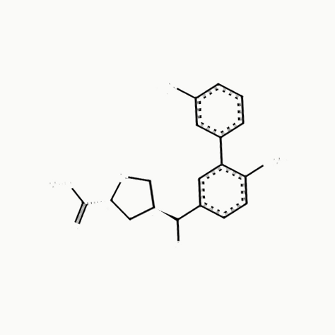 COC(=O)[C@H]1C[C@H](C(O)c2ccc(OC)c(-c3cccc([N+](=O)[O-])c3)c2)CN1